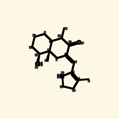 CC1=C(/C=C2\C[C@@]3(C)C(CCC[C@@H]3O)C(C)C2=O)NCC1